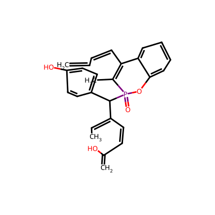 C=C/C=C\C1=C(C)P(=O)(C(C(/C=C\C(=C)O)=C/C)c2ccc(O)cc2)Oc2ccccc21